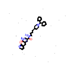 CC(CC(Cc1cccnc1)C(N)=O)C(=O)NCCCCC1CCN(C(c2ccccc2)c2ccccc2)CC1